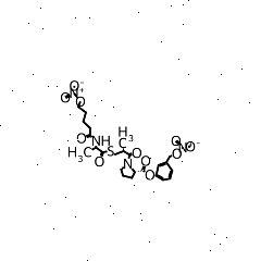 CC(NC(=O)CCCCO[N+](=O)[O-])C(=O)SC[C@@H](C)C(=O)N1CCC[C@H]1C(=O)Oc1cccc(CO[N+](=O)[O-])c1